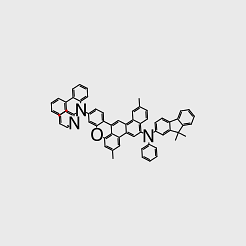 Cc1ccc2c(N(c3ccccc3)c3ccc4c(c3)C(C)(C)c3ccccc3-4)cc3c4cc(C)cc5c4c(cc3c2c1)-c1ccc(N(c2ccccn2)c2ccccc2-c2ccccc2)cc1O5